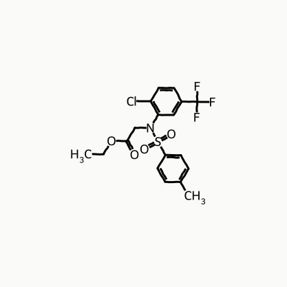 CCOC(=O)CN(c1cc(C(F)(F)F)ccc1Cl)S(=O)(=O)c1ccc(C)cc1